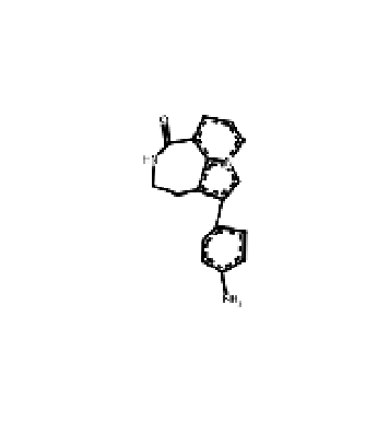 Nc1ccc(-c2cn3cccc4c3c2CCNC4=O)cc1